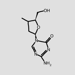 CC1C[C@H](n2cnc(N)nc2=O)O[C@@H]1CO